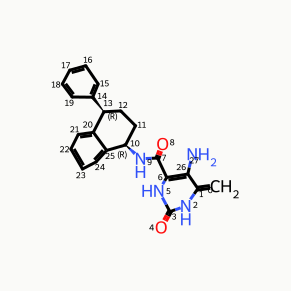 C=C1NC(=O)NC(C(=O)N[C@@H]2CC[C@H](c3ccccc3)c3ccccc32)=C1N